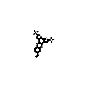 C=Cc1ccc2nc3c4cc(S(C)(C)C)sc4c4sc(S(C)(C)C)cc4c3nc2c1